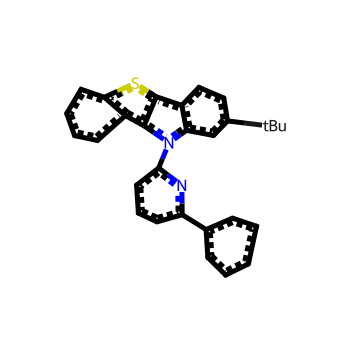 CC(C)(C)c1ccc2c3sc4ccccc4c3n(-c3cccc(-c4ccccc4)n3)c2c1